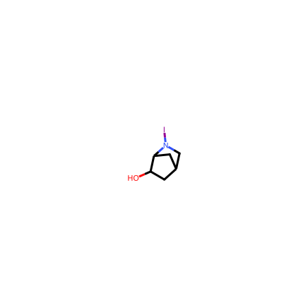 OC1CC2CC1N(I)C2